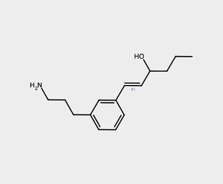 CCCC(O)/C=C/c1cccc(CCCN)c1